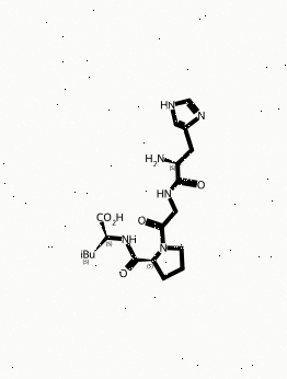 CC[C@H](C)[C@H](NC(=O)[C@@H]1CCCN1C(=O)CNC(=O)[C@@H](N)Cc1c[nH]cn1)C(=O)O